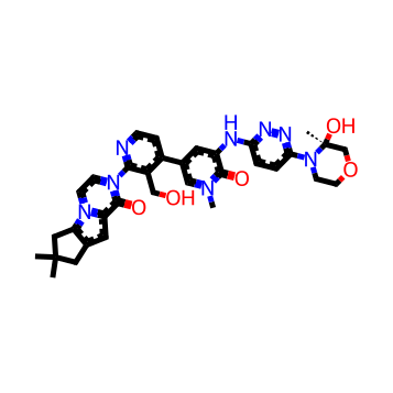 Cn1cc(-c2ccnc(-n3ccn4c5c(cc4c3=O)CC(C)(C)C5)c2CO)cc(Nc2ccc(N3CCOC[C@]3(C)O)nn2)c1=O